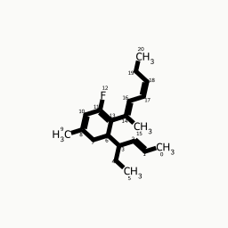 CC=CC(CC)C1CC(C)=CC(F)=C1/C(C)=C/C=C\CC